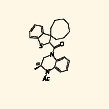 CC(=O)N1c2ccccc2N(C(=O)C2Sc3ccccc3C23CCCCCCC3)C[C@@H]1C